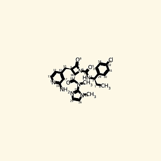 CC[C@@H](NC(=O)N1C(=O)[C@H](Cc2ccnc(N)c2)[C@H]1C(=O)N(C)c1nccn1C)c1ccc(Cl)cc1